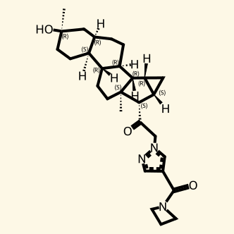 C[C@@]1(O)CC[C@H]2[C@H](CC[C@@H]3[C@@H]2CC[C@@]2(C)[C@H]3[C@@H]3C[C@@H]3[C@@H]2C(=O)Cn2cc(C(=O)N3CCC3)cn2)C1